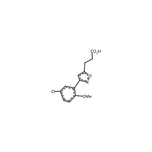 COc1ccc(Cl)cc1-c1cc(CCC(=O)O)on1